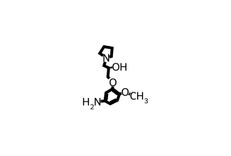 COc1ccc(N)cc1OC[C@H](O)CN1CCCC1